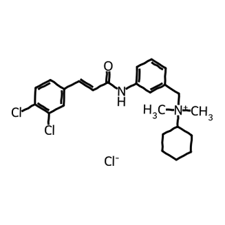 C[N+](C)(Cc1cccc(NC(=O)C=Cc2ccc(Cl)c(Cl)c2)c1)C1CCCCC1.[Cl-]